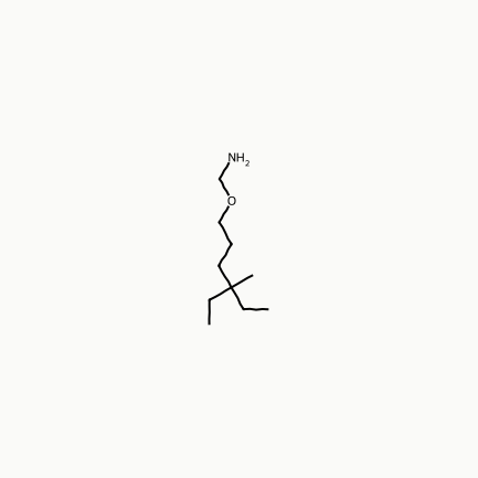 CCC(C)(CC)CCCOCN